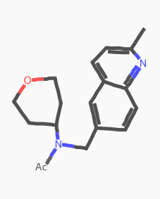 CC(=O)N(Cc1ccc2nc(C)ccc2c1)C1CCOCC1